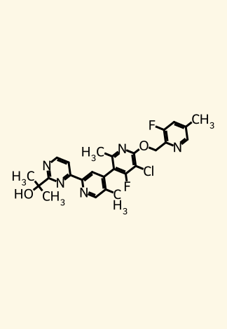 Cc1cnc(COc2nc(C)c(-c3cc(-c4ccnc(C(C)(C)O)n4)ncc3C)c(F)c2Cl)c(F)c1